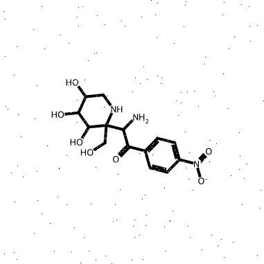 NC(C(=O)c1ccc([N+](=O)[O-])cc1)C1(CO)NCC(O)C(O)C1O